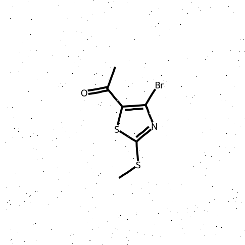 CSc1nc(Br)c(C(C)=O)s1